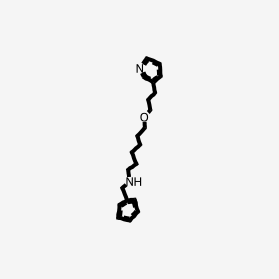 c1ccc(CNCCCCCCOCCCc2cccnc2)cc1